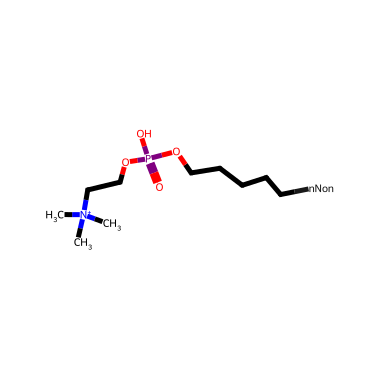 CCCCCCCCCCCCCCOP(=O)(O)OCC[N+](C)(C)C